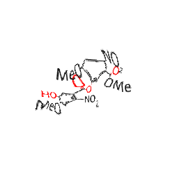 COC(=O)c1cc(OC(=O)c2cc(O)c(OC)cc2[N+](=O)[O-])c(OC)cc1[N+](=O)[O-]